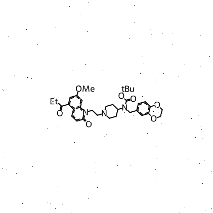 CCC(=O)c1cc(OC)cc2c1ccc(=O)n2CCN1CCC(N(Cc2ccc3c(c2)OCCO3)C(=O)OC(C)(C)C)CC1